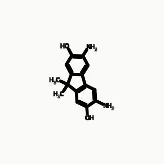 CC1(C)c2cc(O)c(N)cc2-c2cc(N)c(O)cc21